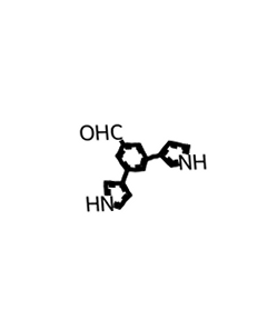 O=Cc1cc(-c2cc[nH]c2)cc(-c2cc[nH]c2)c1